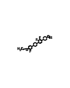 C=CCOc1ccc(C2CCC(c3ccc(C4CCC(OCC)CC4)c(F)c3F)CC2)cc1F